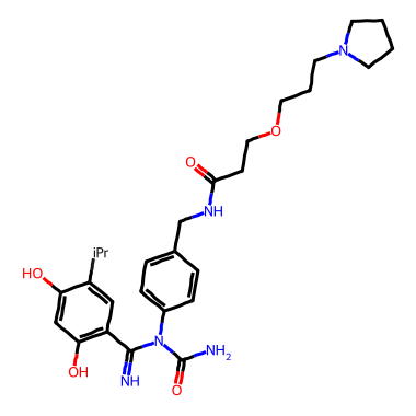 CC(C)c1cc(C(=N)N(C(N)=O)c2ccc(CNC(=O)CCOCCCN3CCCC3)cc2)c(O)cc1O